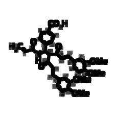 C=CC(=O)NC(c1ccc(C(=O)O)cc1)C(C(=O)/C=C/c1ccc(OC)c(OC)c1)C(=O)/C=C/c1ccc(OC)c(OC)c1